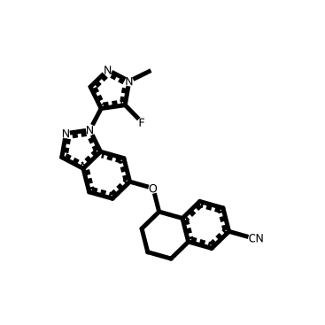 Cn1ncc(-n2ncc3ccc(OC4CCCc5cc(C#N)ccc54)cc32)c1F